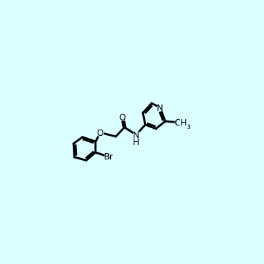 Cc1cc(NC(=O)COc2ccccc2Br)ccn1